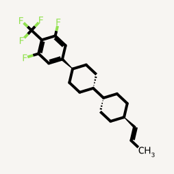 C/C=C/[C@H]1CC[C@H]([C@H]2CC[C@H](c3cc(F)c(C(F)(F)F)c(F)c3)CC2)CC1